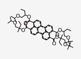 CCC(COC(C)C)OC(=O)c1ccc2c3ccc(C(=O)OC(CC)COC(C)(C)C)c4c(C(=O)OC(C)(CC)COC(C)(C)C)ccc(c5ccc(C(=O)OC(C)(CC)COC(C)C)c1c25)c43